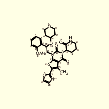 COc1ccccc1[C@H](Cn1c(=O)n(C2CCCNC2=O)c(=O)c2c(C)c(-c3ncco3)sc21)OC1CCOCC1